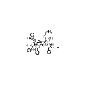 C[C@@H](O)[C@H](NC(=O)[C@H](CCCCCN)NC(=O)[C@@H](Cc1c[nH]c2ccccc12)NC(=O)[C@H](Cc1c[nH]c2ccccc12)NC(=O)[C@@H](N)Cc1ccccc1)C(=O)N[C@@H](Cc1ccccc1)C(=O)O